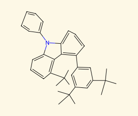 CC(C)(C)c1cc(-c2cccc3c2c2c(C(C)(C)C)cccc2n3-c2ccccc2)cc(C(C)(C)C)c1